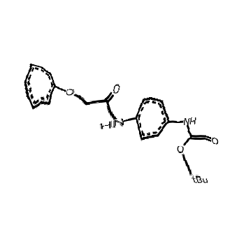 CC(C)(C)OC(=O)Nc1ccc(NC(=O)COc2ccccc2)cc1